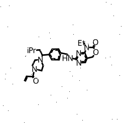 C=CC(=O)N1CCN(C(CC(C)C)c2ccc(CNc3ncc4c(n3)N(CC)C(=O)OC4)cc2)CC1